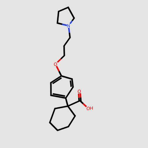 O=C(O)C1(c2ccc(OCCCN3CCCC3)cc2)CCCCC1